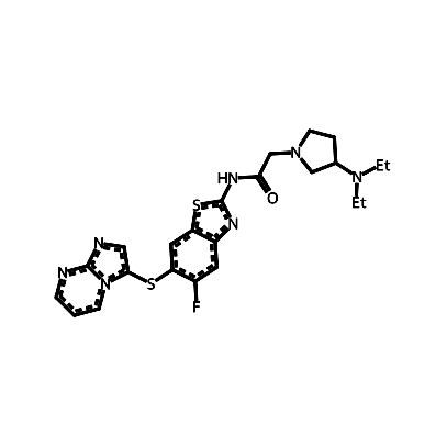 CCN(CC)C1CCN(CC(=O)Nc2nc3cc(F)c(Sc4cnc5ncccn45)cc3s2)C1